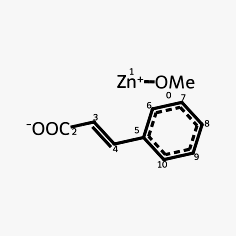 C[O][Zn+].O=C([O-])C=Cc1ccccc1